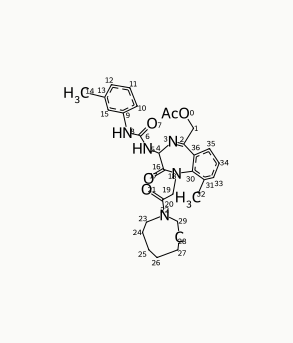 CC(=O)OCC1=NC(NC(=O)Nc2cccc(C)c2)C(=O)N(CC(=O)N2CCCCCCC2)c2c(C)cccc21